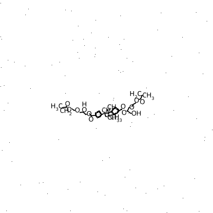 C=C(C)C(=O)OCCOCC(O)COC(=O)c1ccc(C(C)(CC)C(CC)(CC)c2ccc(C(=O)OC(CO)COCCOC(=O)C(=C)C)cc2)cc1